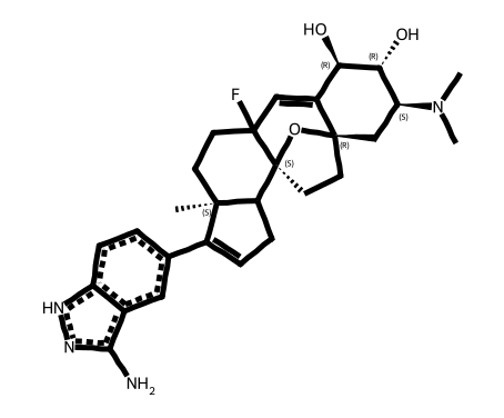 CN(C)[C@H]1C[C@@]23CC[C@]4(O2)C2CC=C(c5ccc6[nH]nc(N)c6c5)[C@@]2(C)CCC4(F)C=C3[C@@H](O)[C@@H]1O